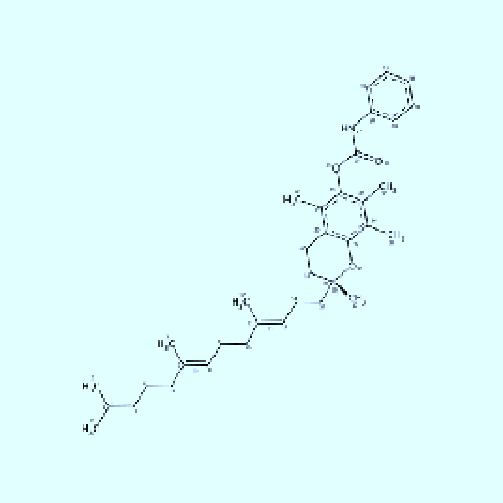 CC(C)=CCC/C(C)=C/CC/C(C)=C/CC[C@]1(C)CCc2c(C)c(OC(=O)Nc3ccccc3)c(C)c(C)c2O1